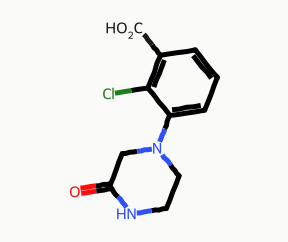 O=C1CN(c2cccc(C(=O)O)c2Cl)CCN1